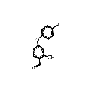 O=Cc1ccc(Oc2ccc(F)cc2)cc1O